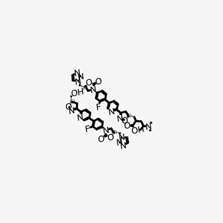 CC(CC(C[C@H]1CC(c2ccc(-c3ccc(N4C[C@H](Cn5ccnn5)OC4=O)cc3F)cn2)=NO1)C(=O)O)N(C)C.O=C1O[C@@H](Cn2ccnn2)CN1c1ccc(-c2ccc(C3=NO[C@H](CO)C3)nc2)c(F)c1